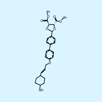 CCCC1CCC(/C=C/COc2ccc(-c3ccc(C4O[C@@H](C(=O)OC(C)C)[C@H](C(=O)OC(C)C)O4)cc3)cc2)CC1